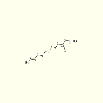 CCC=CCCCCCCCC(=O)C[C]=O